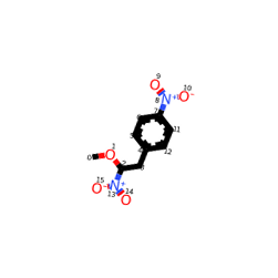 COC(Cc1ccc([N+](=O)[O-])cc1)[N+](=O)[O-]